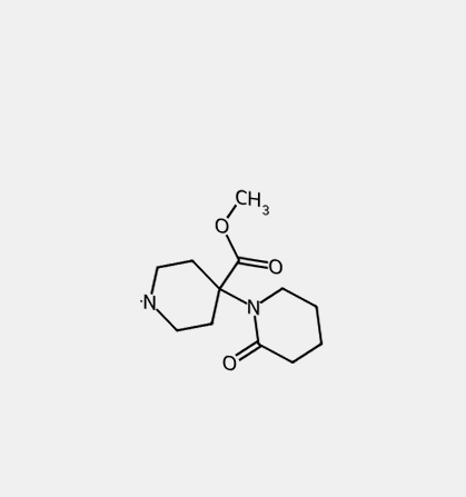 COC(=O)C1(N2CCCCC2=O)CC[N]CC1